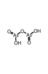 O=[As](O)O[As](=O)O